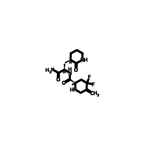 C=C1CN[C@H](C(=O)N[C@@H](C[C@@H]2CCCNC2=O)C(N)=O)CC1(F)F